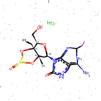 Cl.NC1=c2[nH]c(=O)n([C@@H]3O[C@H](CO)[C@H]4OS(=O)O[C@H]43)c2=NC(I)N1